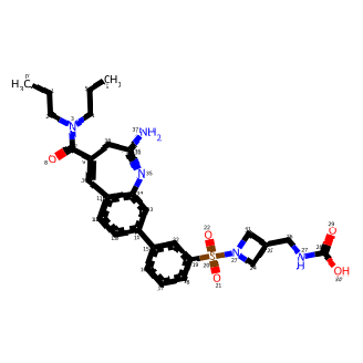 CCCN(CCC)C(=O)C1=Cc2ccc(-c3cccc(S(=O)(=O)N4CC(CNC(=O)O)C4)c3)cc2N=C(N)C1